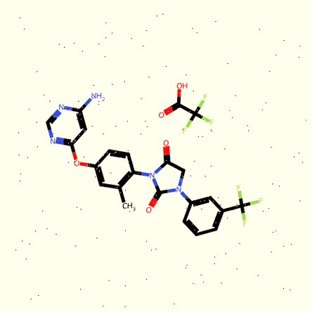 Cc1cc(Oc2cc(N)ncn2)ccc1N1C(=O)CN(c2cccc(C(F)(F)F)c2)C1=O.O=C(O)C(F)(F)F